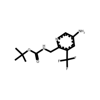 CC(C)(C)OC(=O)NCc1ncc(N)cc1C(F)(F)F